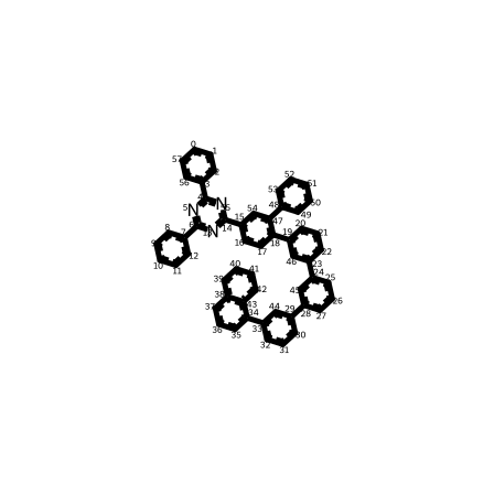 c1ccc(-c2nc(-c3ccccc3)nc(-c3ccc(-c4cccc(-c5cccc(-c6cccc(-c7cccc8ccccc78)c6)c5)c4)c(-c4ccccc4)c3)n2)cc1